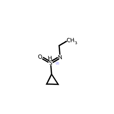 CC/N=[SH](=O)/C1CC1